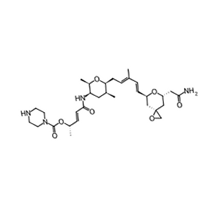 CC(C=C[C@@H]1C[C@@]2(CO2)C[C@@H](CC(N)=O)O1)=CC[C@@H]1O[C@H](C)[C@H](NC(=O)C=C[C@H](C)OC(=O)N2CCNCC2)C[C@@H]1C